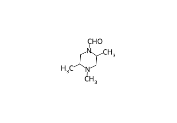 CC1CN(C=O)C(C)CN1C